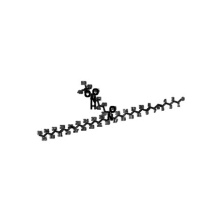 CCCCCC=CCC=CCCCCCCCCN(CCCCCCCCC=CCC=CCCCCC)C(=O)CCCCNC(=O)OC(C)(C)C